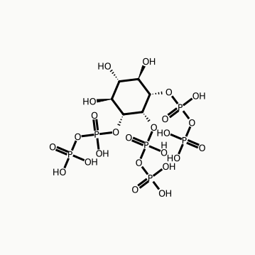 O=P(O)(O)OP(=O)(O)O[C@@H]1[C@H](OP(=O)(O)OP(=O)(O)O)[C@@H](O)[C@H](O)[C@@H](O)[C@@H]1OP(=O)(O)OP(=O)(O)O